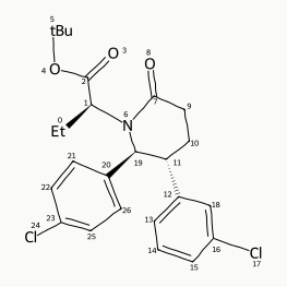 CC[C@@H](C(=O)OC(C)(C)C)N1C(=O)CC[C@H](c2cccc(Cl)c2)[C@H]1c1ccc(Cl)cc1